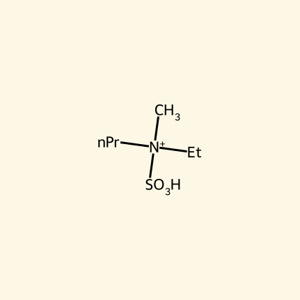 CCC[N+](C)(CC)S(=O)(=O)O